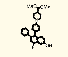 COC(OC)C1CCN(c2ccc(-c3c(-c4ccccc4)cc(F)c4cc(O)ccc34)cc2)CC1